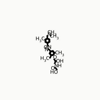 CCc1cc(-c2noc(-c3ccc(CN(C)C)c(C)c3)n2)cc(C)c1OC[C@@H](O)CNC(=O)CO